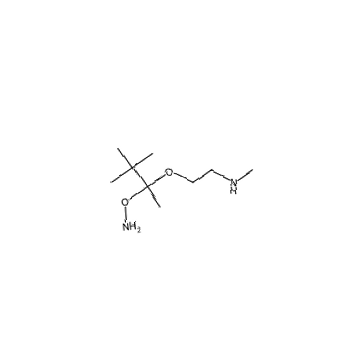 CNCCOC(C)(ON)C(C)(C)C